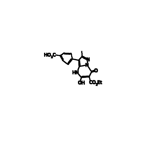 CCOC(=O)c1c(O)[nH]c2c(-c3ccc(C(=O)O)cc3)c(C)nn2c1=O